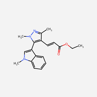 CCOC(=O)/C=C/c1c(C)nn(C)c1-c1cn(C)c2ccccc12